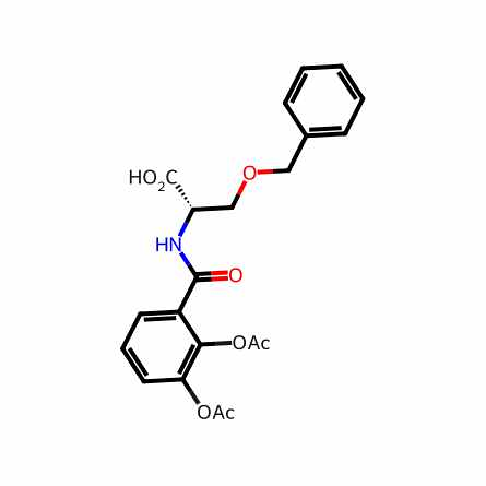 CC(=O)Oc1cccc(C(=O)N[C@@H](COCc2ccccc2)C(=O)O)c1OC(C)=O